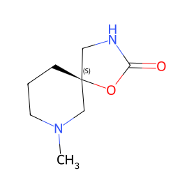 CN1CCC[C@]2(CNC(=O)O2)C1